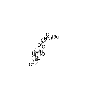 CC(C)(C)OC(=O)N1CC[C@@H](C(=O)O[C@H]2CC[C@@]3(C)[C@H](C2)C(=O)C[C@@H]2[C@@H]3CC[C@]3(C)C(=O)CC[C@@H]23)C1